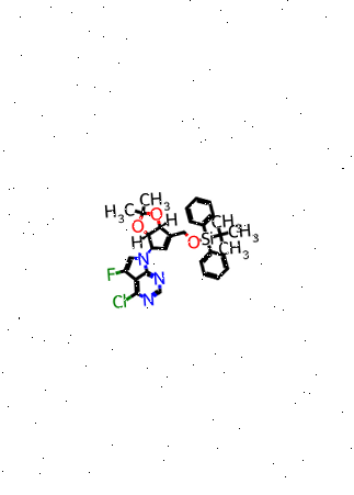 CC1(C)O[C@@H]2[C@H](O1)C(CO[Si](c1ccccc1)(c1ccccc1)C(C)(C)C)=C[C@H]2n1cc(F)c2c(Cl)ncnc21